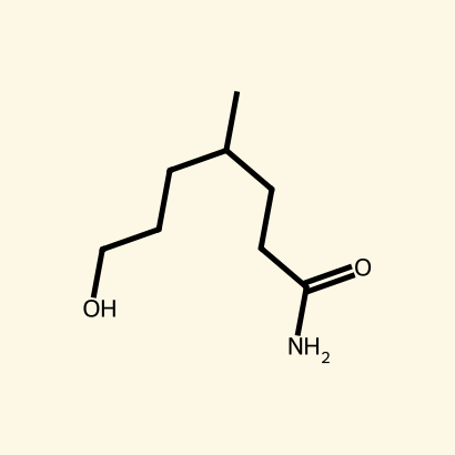 CC(CCCO)CCC(N)=O